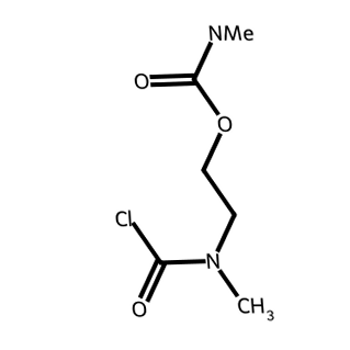 CNC(=O)OCCN(C)C(=O)Cl